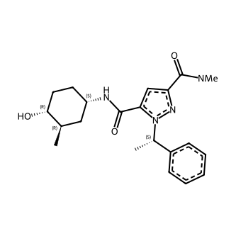 CNC(=O)c1cc(C(=O)N[C@H]2CC[C@@H](O)[C@H](C)C2)n([C@@H](C)c2ccccc2)n1